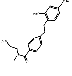 COc1cc(C=O)ccc1OCc1ccc(C(=O)N(C)CCOC(C)=O)cc1